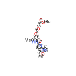 COc1cc(OCCOCCCC(=O)OC(C)(C)C)ccc1NC(=O)c1cccc(-c2ccnn2C2CCCCO2)n1